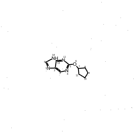 c1nc2cnc(OC3CCCC3)nc2[nH]1